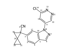 N#CC1(c2ccc3cnn(-c4cnnc(Cl)c4)c3c2)CC12CC2